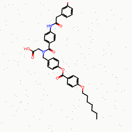 CCCCCCCOc1ccc(C(=O)Oc2ccc(CN(CC(=O)O)C(=O)c3ccc(NC(=O)Cc4cccc(O)c4)cc3)cc2)cc1